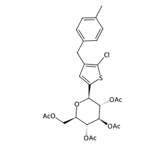 CC(=O)OC[C@H]1O[C@@H](c2cc(Cc3ccc(C)cc3)c(Cl)s2)[C@H](OC(C)=O)[C@@H](OC(C)=O)[C@@H]1OC(C)=O